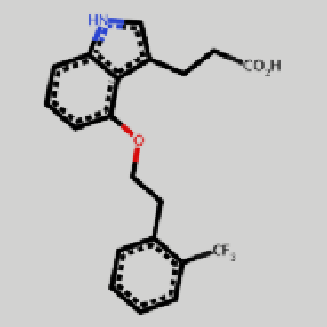 O=C(O)CCc1c[nH]c2cccc(OCCc3ccccc3C(F)(F)F)c12